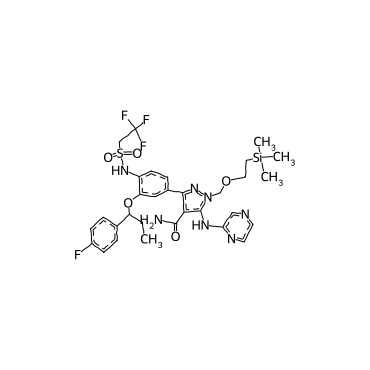 CCC(Oc1cc(-c2nn(COCC[Si](C)(C)C)c(Nc3cnccn3)c2C(N)=O)ccc1NS(=O)(=O)CC(F)(F)F)c1ccc(F)cc1